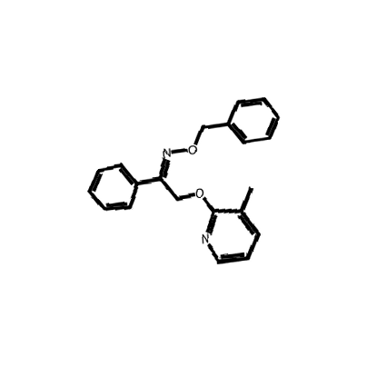 Cc1cccnc1OCC(=NOCc1ccccc1)c1ccccc1